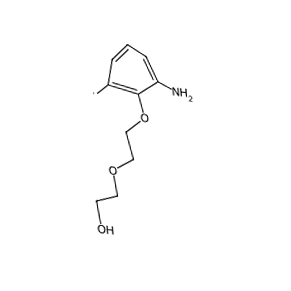 [CH2]c1cccc(N)c1OCCOCCO